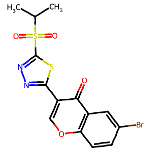 CC(C)S(=O)(=O)c1nnc(-c2coc3ccc(Br)cc3c2=O)s1